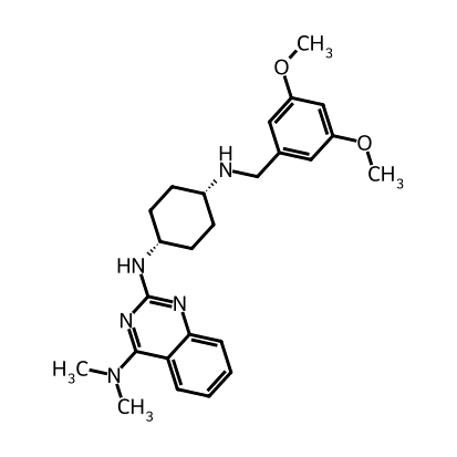 COc1cc(CN[C@H]2CC[C@@H](Nc3nc(N(C)C)c4ccccc4n3)CC2)cc(OC)c1